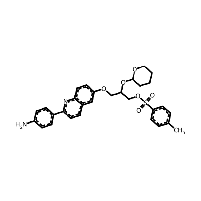 Cc1ccc(S(=O)(=O)OCC(COc2ccc3nc(-c4ccc(N)cc4)ccc3c2)OC2CCCCO2)cc1